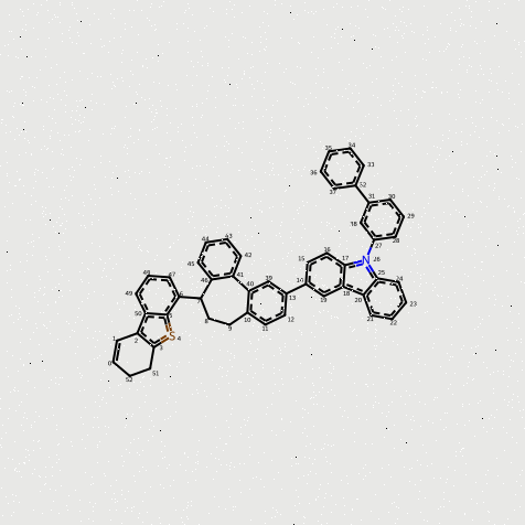 C1=Cc2c(sc3c(C4CCc5ccc(-c6ccc7c(c6)c6ccccc6n7-c6cccc(-c7ccccc7)c6)cc5-c5ccccc54)cccc23)CC1